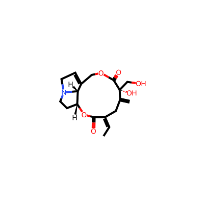 C=C1C/C(=C/C)C(=O)O[C@@H]2CCN3CC=C(COC(=O)[C@@]1(O)CO)[C@H]23